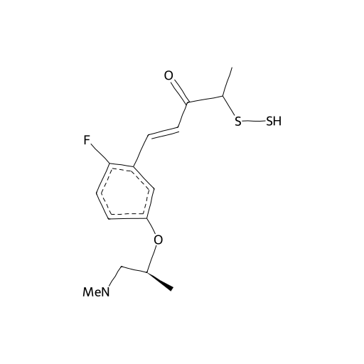 CNC[C@H](C)Oc1ccc(F)c(/C=C/C(=O)C(C)SS)c1